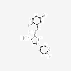 Cl.Fc1ccc(N2CCC(NCc3cc(Br)ccc3F)C2)cn1